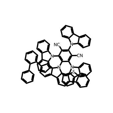 N#Cc1c(-n2c3ccccc3c3ccccc32)c(C#N)c(-n2c3ccccc3c3ccccc32)c(-n2c3cc(-c4ccccc4-c4ccccc4)ccc3c3ccc4c5ccccc5sc4c32)c1-n1c2ccccc2c2ccccc21